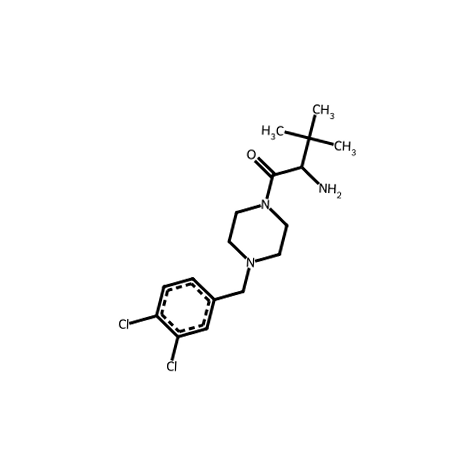 CC(C)(C)C(N)C(=O)N1CCN(Cc2ccc(Cl)c(Cl)c2)CC1